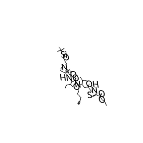 C#CCCCON(C(=O)C(NC(=O)[C@@]1(C)CCCN1CCO[Si](C)(C)C(C)(C)C)C(C)CC)C(CC(O)c1nc(C(=O)OCC)cs1)C(C)C